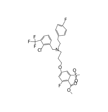 COC(=O)c1c(F)cc(OCCCN(CCc2ccc(F)cc2)Cc2cccc(C(F)(F)F)c2Cl)cc1S(C)(=O)=O